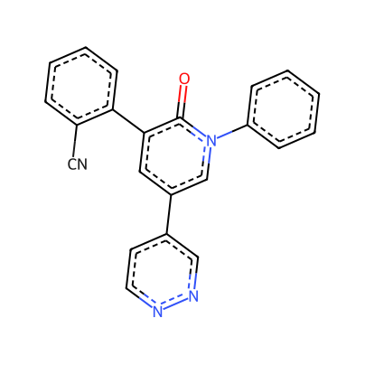 N#Cc1ccccc1-c1cc(-c2ccnnc2)cn(-c2ccccc2)c1=O